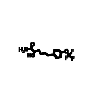 NC(=O)C(O)CCCCc1ccc(OC(F)(F)F)cc1